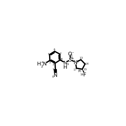 N#Cc1c(N)cccc1N[S+]([O-])N1CC[C@@H](F)C1